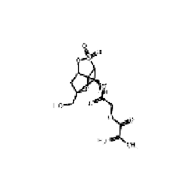 C=C(C)C(=O)OCC(=O)OC1C2C3(CO)OC1(CO)CC3OS2(=O)=O